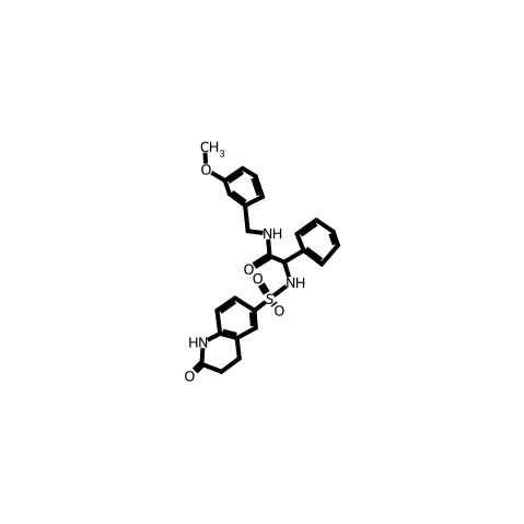 COc1cccc(CNC(=O)C(NS(=O)(=O)c2ccc3c(c2)CCC(=O)N3)c2ccccc2)c1